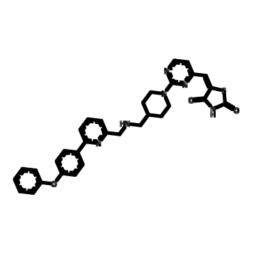 O=C1NC(=O)/C(=C\c2ccnc(N3CCC(CNCc4cccc(-c5ccc(Oc6ccccc6)cc5)n4)CC3)n2)S1